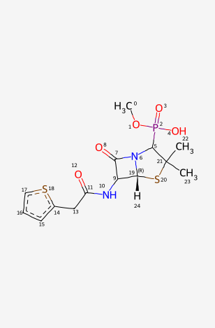 COP(=O)(O)C1N2C(=O)C(NC(=O)Cc3cccs3)[C@H]2SC1(C)C